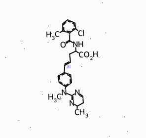 Cc1cccc(Cl)c1C(=O)NC(C/C=C/c1ccc(N(C)C2=NC(C)CC=N2)cc1)C(=O)O